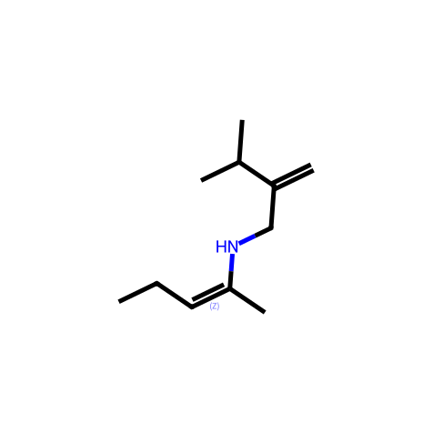 C=C(CN/C(C)=C\CC)C(C)C